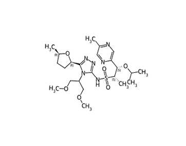 COCC(COC)n1c(NS(=O)(=O)[C@@H](C)[C@@H](OC(C)C)c2cnc(C)cn2)nnc1[C@H]1CC[C@@H](C)O1